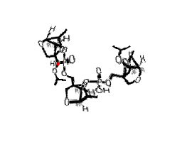 CC(C)OCC12CO[C@H](C(C)O1)[C@H]2OP(=O)(O)OCC12CO[C@H](C(C)O1)[C@H]2OP(=O)(O)OCC12CO[C@H](C(C)O1)[C@H]2OC(C)C